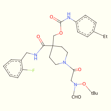 CCc1ccc(NC(=O)OCC2(C(=O)NCc3ccccc3F)CCN(C(=O)CN(C=O)OC(C)(C)C)CC2)cc1